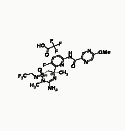 COc1cnc(C(=O)Nc2ccc(F)c([C@]3(C)C[S@@](=O)(=NCC(F)(F)F)N(C)C(N)=N3)n2)cn1.O=C(O)C(F)(F)F